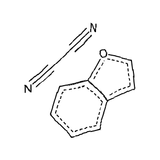 N#CC#N.c1ccc2occc2c1